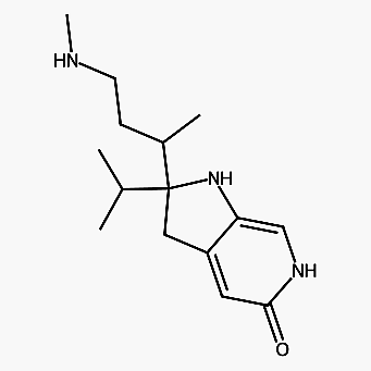 CNCCC(C)C1(C(C)C)Cc2cc(=O)[nH]cc2N1